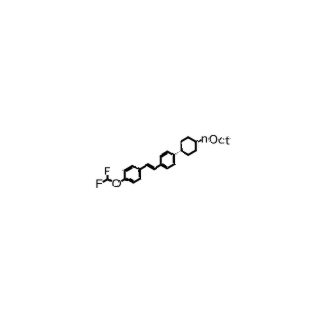 CCCCCCCC[C@H]1CC[C@H](c2ccc(C=Cc3ccc(OC(F)F)cc3)cc2)CC1